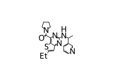 CCc1cc2nc(NC(C)c3cccnc3)nc(C(=O)N3CCCC3)c2s1